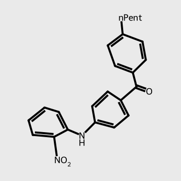 CCCCCc1ccc(C(=O)c2ccc(Nc3ccccc3[N+](=O)[O-])cc2)cc1